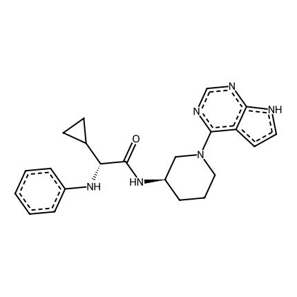 O=C(N[C@@H]1CCCN(c2ncnc3[nH]ccc23)C1)[C@H](Nc1ccccc1)C1CC1